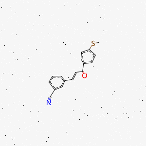 CSc1ccc(C(=O)C=Cc2cccc(C#N)c2)cc1